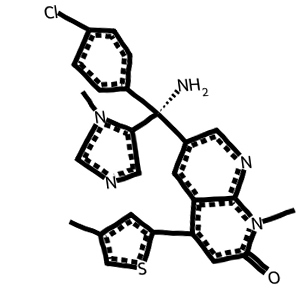 Cc1csc(-c2cc(=O)n(C)c3ncc([C@](N)(c4ccc(Cl)cc4)c4cncn4C)cc23)c1